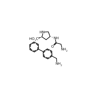 NCC(=O)N[C@H]1CN[C@H](C(=O)O)C1.NCc1ccc(-c2ccccc2)cc1